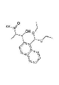 CCOC(OCC)c1c(C(O)C(C)[N+](=O)[O-])ccc2ccccc12